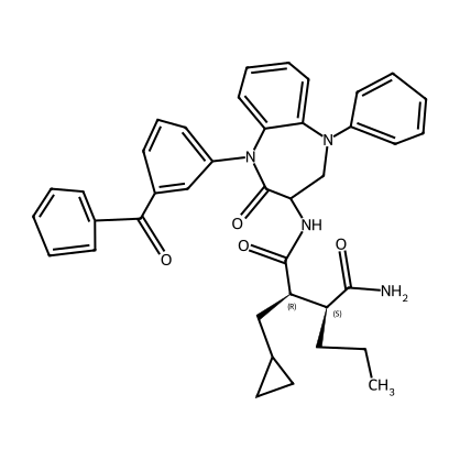 CCC[C@H](C(N)=O)[C@@H](CC1CC1)C(=O)NC1CN(c2ccccc2)c2ccccc2N(c2cccc(C(=O)c3ccccc3)c2)C1=O